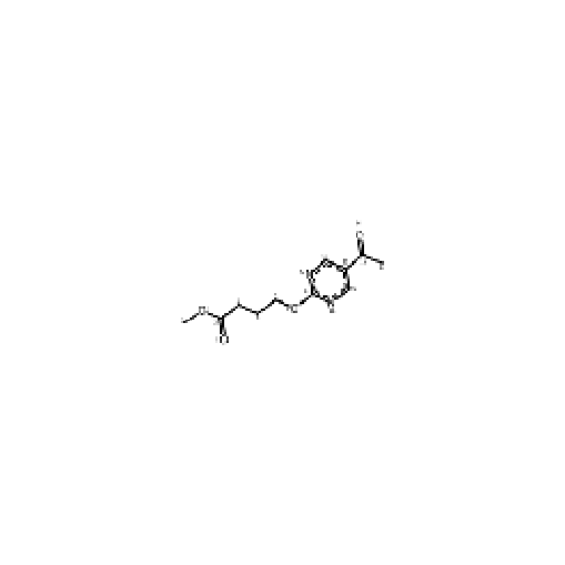 COC(=O)CCCOc1ncc(C(C)=O)cn1